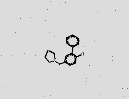 Clc1ccc(CN2CCCC2)cc1-c1ccccc1